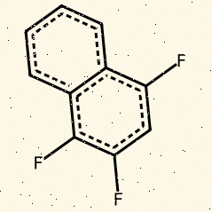 Fc1cc(F)c2ccccc2c1F